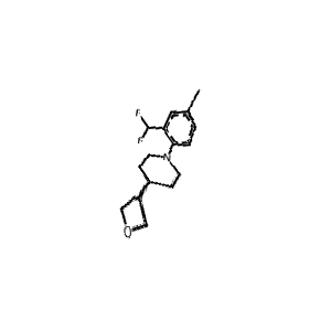 Cc1ccc(N2CCC(C3COC3)CC2)c(C(F)F)c1